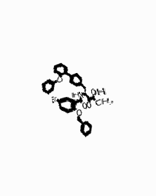 CC(O)C(=O)[C@H](Cc1ccc(-c2ccccc2Oc2ccccc2)cc1)NC(=O)c1cc(Br)ccc1OCc1ccccc1